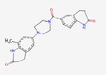 Cc1cc(N2CCN(C(=O)c3ccc4c(c3)CCC(=O)N4)CC2)cc2c1NC(=O)CC2